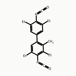 CCc1cc(-c2cc(CC)c(N=C=O)c(CC)c2C)cc(CC)c1N=C=O